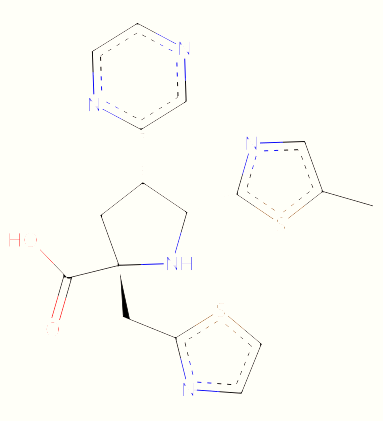 Cc1cnc([C@@H]2N[C@](Cc3nccs3)(C(=O)O)C[C@@H]2c2cnccn2)s1